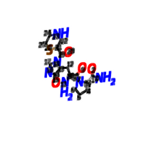 NC(=O)[C@@H]1CCCN1C(=O)[C@@H](N)CC1C(=O)N=CN1C(=O)C1CNCCS1